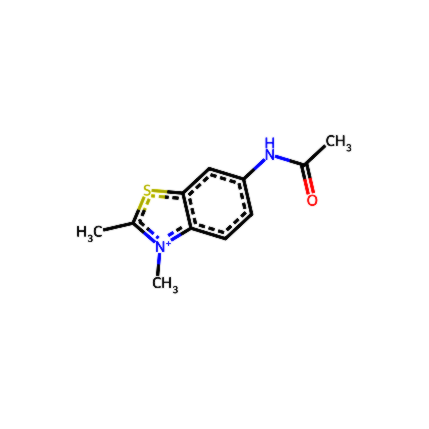 CC(=O)Nc1ccc2c(c1)sc(C)[n+]2C